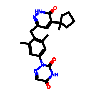 Cc1cc(-n2ncc(=O)[nH]c2=O)cc(C)c1Cc1cc(C2(C)CCCC2)c(=O)[nH]n1